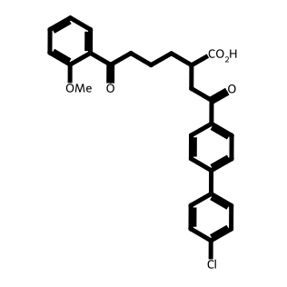 COc1ccccc1C(=O)CCCC(CC(=O)c1ccc(-c2ccc(Cl)cc2)cc1)C(=O)O